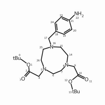 CC(C)(C)OC(=O)CN1CCN(CC(=O)OC(C)(C)C)CCN(Cc2ccc(N)cc2)CC1